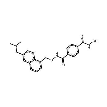 CN(C)Cc1ccc2c(CONC(=O)c3ccc(C(=O)NO)cc3)cccc2c1